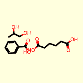 CC(O)CO.O=C(O)CCCCC(=O)O.O=C(O)c1ccccc1